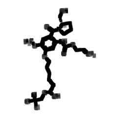 C=CCOC(=O)Nc1cc(OCCCCCC(O)OCC(Cl)(Cl)Cl)c(OC)cc1C(=O)N1CCC[C@H]1CO